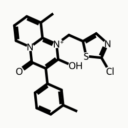 Cc1cccc(-c2c(O)[n+](Cc3cnc(Cl)s3)c3c(C)cccn3c2=O)c1